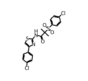 CC(C)(C(=O)Nc1nc(-c2ccc(Cl)cc2)cs1)S(=O)(=O)c1ccc(Cl)cc1